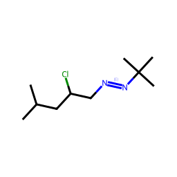 CC(C)CC(Cl)C/N=N/C(C)(C)C